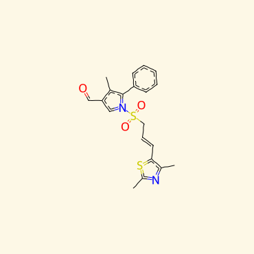 Cc1nc(C)c(C=CCS(=O)(=O)n2cc(C=O)c(C)c2-c2ccccc2)s1